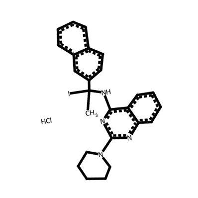 CC(I)(Nc1nc(N2CCCCC2)nc2ccccc12)c1ccc2ccccc2c1.Cl